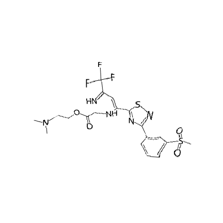 CN(C)CCOC(=O)CN/C(=C\C(=N)C(F)(F)F)c1nc(-c2cccc(S(C)(=O)=O)c2)ns1